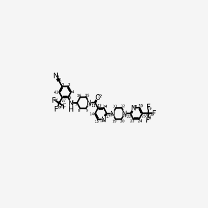 N#Cc1ccc(NC2CCN(C(=O)c3ccnc(N4CCN(c5ccc(C(F)(F)F)cn5)CC4)c3)CC2)c(C(F)(F)F)c1